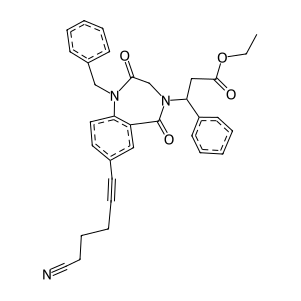 CCOC(=O)CC(c1ccccc1)N1CC(=O)N(Cc2ccccc2)c2ccc(C#CCCCC#N)cc2C1=O